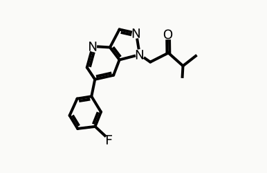 CC(C)C(=O)Cn1ncc2ncc(-c3cccc(F)c3)cc21